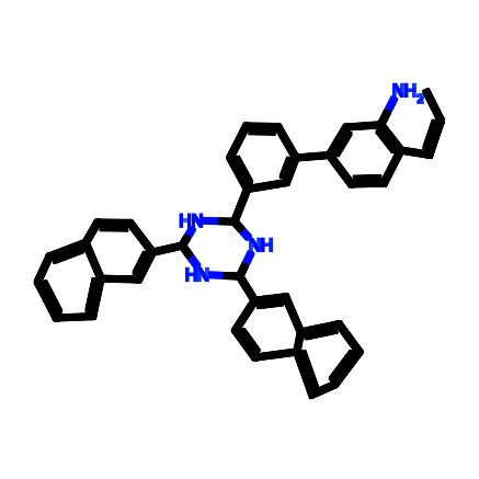 C/C=C\c1ccc(-c2cccc(C3NC(c4ccc5ccccc5c4)NC(c4ccc5ccccc5c4)N3)c2)cc1N